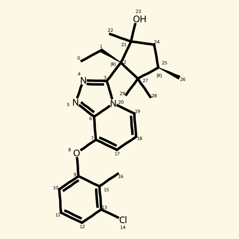 CC[C@@]1(c2nnc3c(Oc4cccc(Cl)c4C)cccn23)C(C)(O)C[C@@H](C)C1(C)C